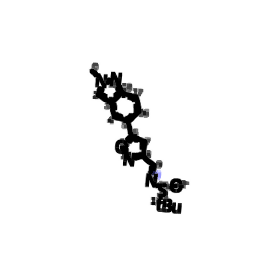 Cn1cc2cc(-c3cc(/C=N/[S@@+]([O-])C(C)(C)C)no3)ccc2n1